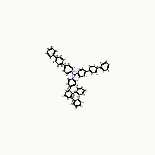 c1ccc(-c2ccc(-c3ccc(N(c4ccc(-c5ccc(-c6ccccc6)cc5)cc4)c4ccc(-c5cccc(-c6ccccc6)c5-c5ccccc5)cc4)cc3)cc2)cc1